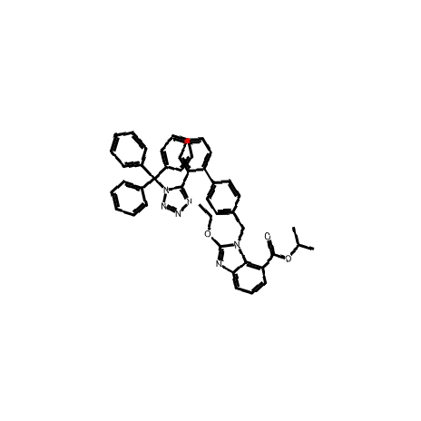 CCOc1nc2cccc(C(=O)OC(C)C)c2n1Cc1ccc(-c2ccccc2-c2nnnn2C(c2ccccc2)(c2ccccc2)c2ccccc2)cc1